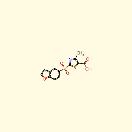 Cc1nc(S(=O)(=O)c2ccc3occc3c2)sc1C(=O)O